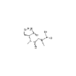 CCC(=O)N(C)CC(=O)N(C)[C@@H](CC(C)C)C(N)=O